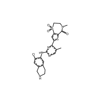 Cc1cnc(Nc2cc3c(cc2Cl)CNCC3)nc1-c1cc2c(s1)C(=O)N(C)CCS2(=O)=O